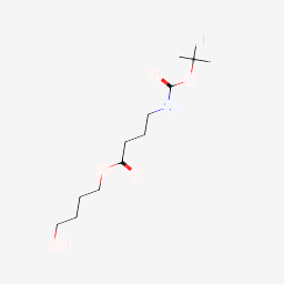 CC(C)(C)OC(=O)NCCCC(=O)OCCCCO